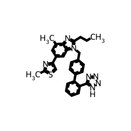 CCCc1nc2c(C)cc(-c3csc(C)n3)cc2n1Cc1ccc(-c2ccccc2-c2nnn[nH]2)cc1